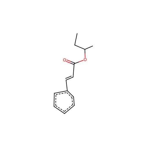 CCC(C)OC(=O)C=Cc1ccccc1